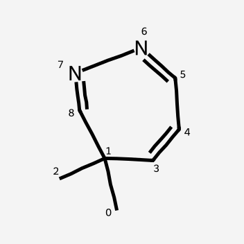 CC1(C)C=CC=NN=C1